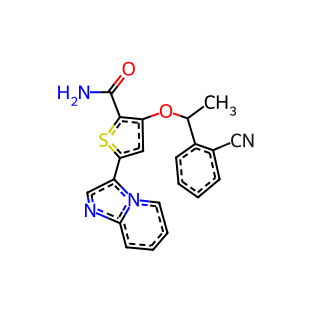 CC(Oc1cc(-c2cnc3ccccn23)sc1C(N)=O)c1ccccc1C#N